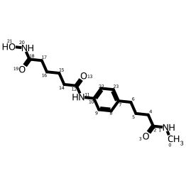 CNC(=O)CCCc1ccc(NC(=O)CCCCC(=O)NO)cc1